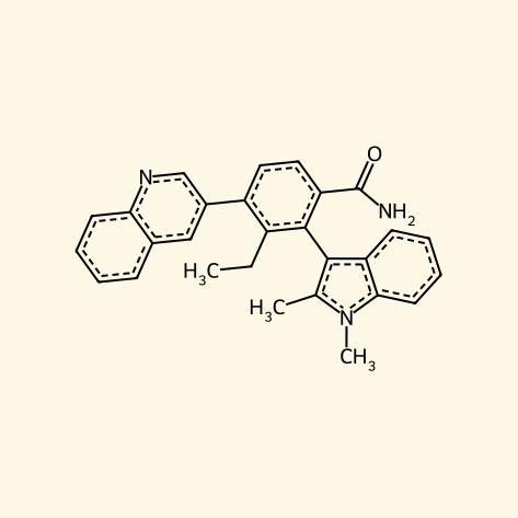 CCc1c(-c2cnc3ccccc3c2)ccc(C(N)=O)c1-c1c(C)n(C)c2ccccc12